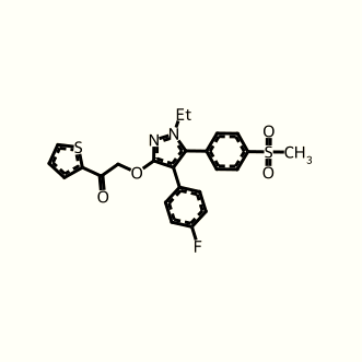 CCn1nc(OCC(=O)c2cccs2)c(-c2ccc(F)cc2)c1-c1ccc(S(C)(=O)=O)cc1